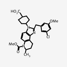 COC(=O)N1c2ccc3c(nc(Cc4cc(Cl)cc(OC)c4)n3C3CCC(C(=O)O)CC3)c2CCC1C